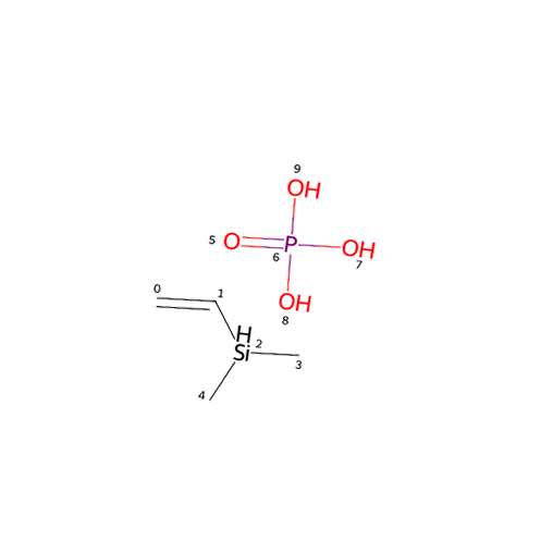 C=C[SiH](C)C.O=P(O)(O)O